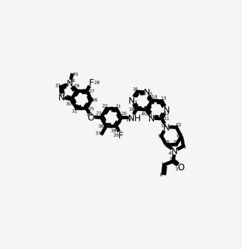 C=CC(=O)N1CC2CC1CN(c1ncc3ncnc(Nc4ccc(Oc5cc(F)c6c(c5)ncn6C)c(C)c4F)c3n1)C2